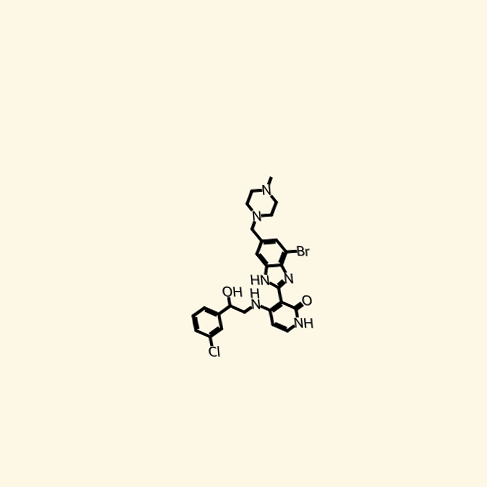 CN1CCN(Cc2cc(Br)c3nc(-c4c(NCC(O)c5cccc(Cl)c5)cc[nH]c4=O)[nH]c3c2)CC1